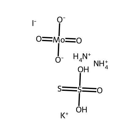 O=S(O)(O)=S.[I-].[K+].[NH4+].[NH4+].[O]=[Mo](=[O])([O-])[O-]